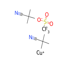 CC(C)(C)C#N.CC(C)(C)C#N.O=S(=O)([O-])C(F)(F)F.[Cu+]